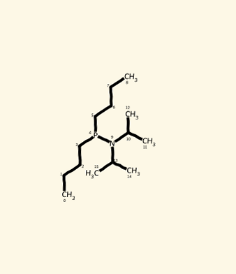 CCCCP(CCCC)N(C(C)C)C(C)C